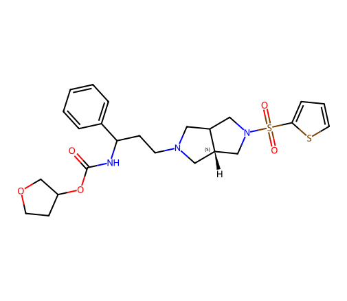 O=C(NC(CCN1CC2CN(S(=O)(=O)c3cccs3)C[C@@H]2C1)c1ccccc1)OC1CCOC1